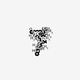 CCC(C)[C@@H](C(CC(=O)N1CC2(CC2)C[C@H]1[C@H](OC)[C@@H](C)C(=O)N[C@@H](Cc1ccccc1)C(=O)O)OC)N(C)C(=O)[C@@H](NC(=O)[C@H](C(C)C)N(C)C(=O)CCCCCN1C(=O)C=CC1=O)C(C)C